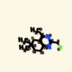 Cc1nc(CF)nc2c1CC(C)(C)CC2